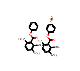 CCCCCCCCc1ccc(C(=O)O)c(C(=O)Oc2ccccc2)c1CCCCCCCC.CCCCCCCCc1ccc(C(=O)O)c(C(=O)Oc2ccccc2)c1CCCCCCCC.O=S